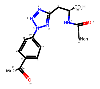 CCCCCCCCCC(=O)N[C@@H](Cc1nnn(-c2ccc(C(=O)OC)cc2)n1)C(=O)O